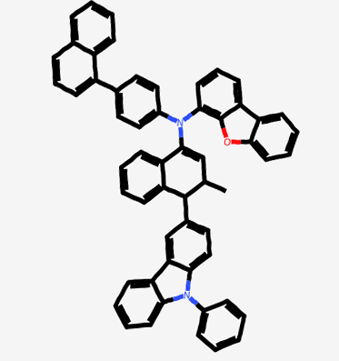 CC1C=C(N(c2ccc(-c3cccc4ccccc34)cc2)c2cccc3c2oc2ccccc23)c2ccccc2C1c1ccc2c(c1)c1ccccc1n2-c1ccccc1